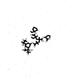 CCC1(OC(=O)C(C)(CC)CC(C)(CC(C)(C)C(=O)OC2CC(C(C)(O)C(F)(F)F)CC(C(O)(C(F)(F)F)C(F)(F)F)C2)C(=O)OC2CCOC2=O)CCCC1